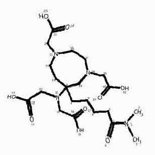 CN(C)C(=O)CCCCC1(N(CC(=O)O)CC(=O)O)CCN(CC(=O)O)CCN(CC(=O)O)C1